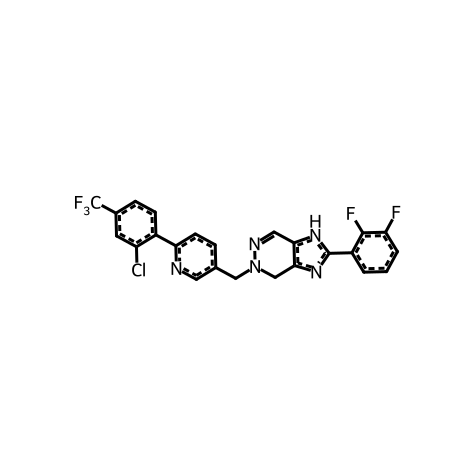 Fc1cccc(-c2nc3c([nH]2)C=NN(Cc2ccc(-c4ccc(C(F)(F)F)cc4Cl)nc2)C3)c1F